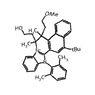 COCCC1(C)c2c(cc(C(C)(C)C)c3ccccc23)-c2n(-c3c(C)cccc3C)c3ccccc3[n+]2C1(C)CCO